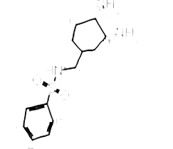 N[C@@H]1CC(CNS(=O)(=O)c2ccccc2)CC[C@@H]1N